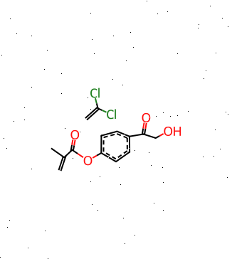 C=C(C)C(=O)Oc1ccc(C(=O)CO)cc1.C=C(Cl)Cl